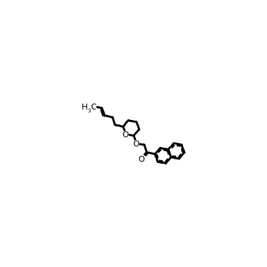 CC=CCCC1CCCC(OCC(=O)c2ccc3ccccc3c2)O1